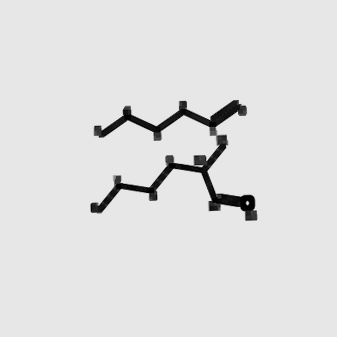 C=CCCCC.CCCCC(C)C=O